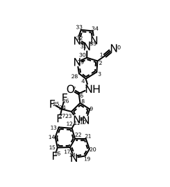 N#Cc1cc(NC(=O)c2cnn(-c3ccc(F)c4ncccc34)c2C(F)(F)F)cnc1-n1nccn1